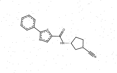 N#CN1CC[C@@H](NC(=O)c2cnc(-c3ccccc3)s2)C1